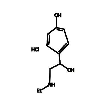 CCNCC(O)c1ccc(O)cc1.Cl